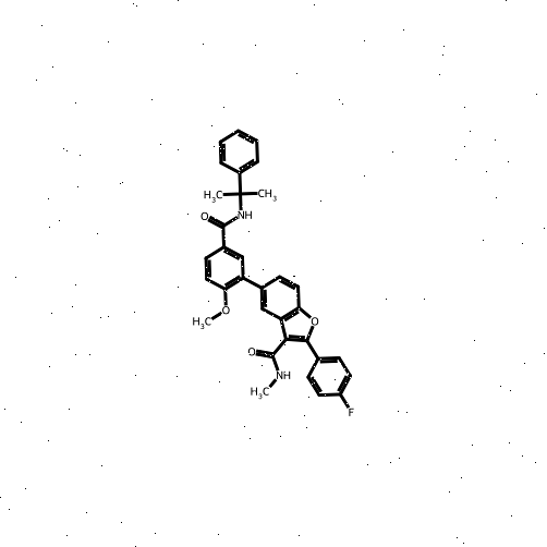 CNC(=O)c1c(-c2ccc(F)cc2)oc2ccc(-c3cc(C(=O)NC(C)(C)c4ccccc4)ccc3OC)cc12